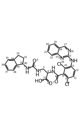 O=C(NCC(NC(=O)c1c(Cl)ccc(Nc2ncc3ccccc3n2)c1Cl)C(=O)O)N[C@@H]1CCc2ccccc21